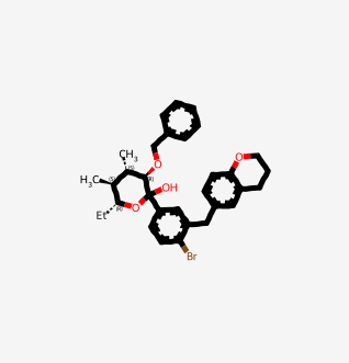 CC[C@H]1OC(O)(c2ccc(Br)c(Cc3ccc4c(c3)CCCO4)c2)[C@H](OCc2ccccc2)[C@@H](C)[C@@H]1C